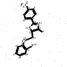 Cc1nc(-c2ccc(C(F)(F)F)cc2)sc1COc1ccc[c]c1F